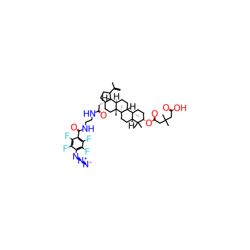 C=C(C)C1CC[C@]2(CC(=O)NCCNC(=O)c3c(F)c(F)c(N=[N+]=[N-])c(F)c3F)CC[C@]3(C)[C@H](CC[C@@H]4[C@@]5(C)CC[C@H](OC(=O)CC(C)(C)CC(=O)O)C(C)(C)[C@@H]5CC[C@]43C)[C@@H]12